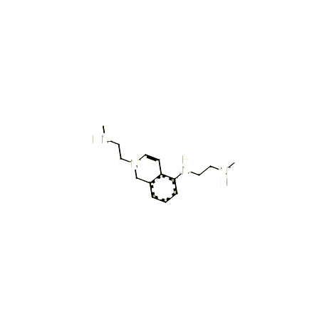 CNCCNc1cccc2c1C=CN(CCNC)C2